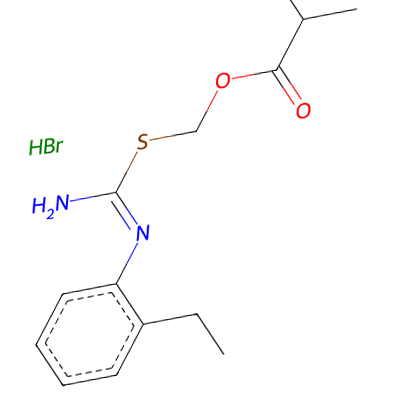 Br.CCc1ccccc1/N=C(\N)SCOC(=O)C(C)C